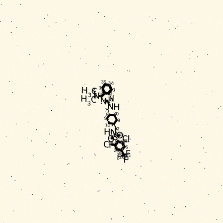 CN(C)c1nc(NC[C@H]2CC[C@H](CNS(=O)(=O)c3c(Cl)cc(C(F)(F)F)cc3Cl)CC2)nc2ccccc12